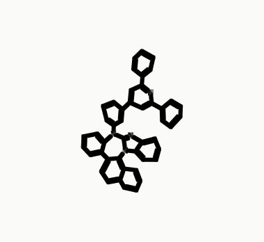 c1ccc(-c2cc(-c3cccc(N4c5ccccc5-c5ccc6ccccc6c5-n5c4nc4ccccc45)c3)cc(-c3ccccc3)n2)cc1